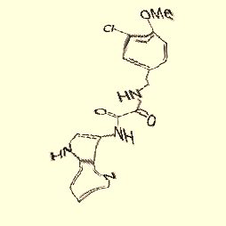 COc1ccc(CNC(=O)C(=O)Nc2c[nH]c3cccnc23)cc1Cl